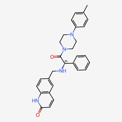 Cc1ccc(N2CCN(C(=O)[C@H](NCc3ccc4[nH]c(=O)ccc4c3)c3ccccc3)CC2)cc1